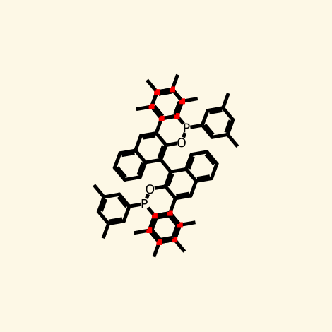 Cc1cc(C)cc(-c2cc3ccccc3c(-c3c(OP(c4cc(C)cc(C)c4)c4cc(C)cc(C)c4)c(-c4cc(C)cc(C)c4)cc4ccccc34)c2OP(c2cc(C)cc(C)c2)c2cc(C)cc(C)c2)c1